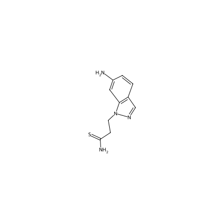 NC(=S)CCn1ncc2ccc(N)cc21